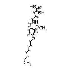 CCCCCCCCOc1ccc(CNCCCP(=O)(O)O)c(OC)c1